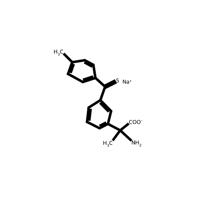 Cc1ccc(C(=S)c2cccc(C(C)(N)C(=O)[O-])c2)cc1.[Na+]